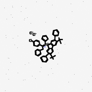 CC(C)(C)c1cc2c(cc1-c1ccccc1)[CH](/[Zr+2]([C]1=CC=CC1)=[C](\Cc1ccccc1)c1ccc(Cl)cc1)c1cc(-c3ccccc3)c(C(C)(C)C)cc1-2.[Cl-].[Cl-]